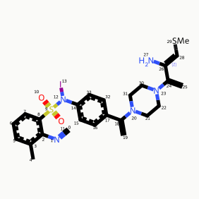 C=Nc1c(C)cccc1S(=O)(=O)N(I)c1ccc(C(=C)N2CCN(C(=C)/C(N)=C/SC)CC2)cc1